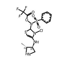 C[C@H]1CNC[C@@H]1NC1=CSC(N(OC(=O)C(F)(F)F)S(=O)(=O)c2ccccc2)N1Cl